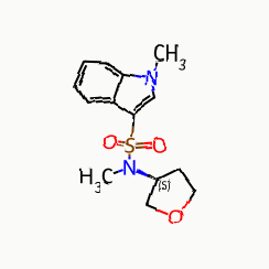 CN([C@H]1CCOC1)S(=O)(=O)c1cn(C)c2ccccc12